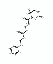 CC1(C)CO[PH](=O)O[C@H]1C(=O)NCCC(=O)OCCc1ccccn1